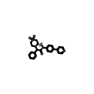 CN(C(=O)C(c1ccccc1)N1CCS(=O)(=O)CC1)c1ccc(-c2ccncc2)cc1